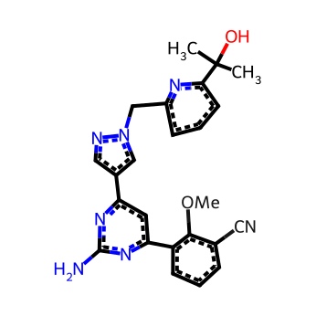 COc1c(C#N)cccc1-c1cc(-c2cnn(Cc3cccc(C(C)(C)O)n3)c2)nc(N)n1